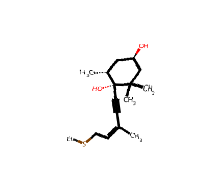 CCSC/C=C(/C)C#C[C@@]1(O)[C@H](C)C[C@@H](O)CC1(C)C